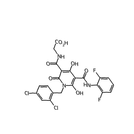 O=C(O)CNC(=O)c1c(O)c(C(=O)Nc2c(F)cccc2F)c(O)n(Cc2ccc(Cl)cc2Cl)c1=O